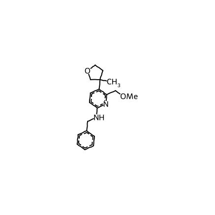 COCc1nc(NCc2ccccc2)ccc1C1(C)CCOC1